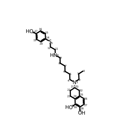 CCCN(CCCCCCNCCSc1ccc(O)cc1)[C@H]1CCc2c(ccc(O)c2O)C1